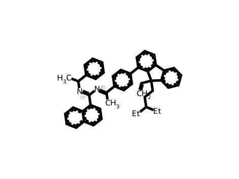 C=CC1(CCC(CC)CC)c2ccccc2-c2cccc(-c3ccc(/C(C)=N/C(=N\C(C)c4ccccc4)c4cccc5ccccc45)cc3)c21